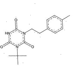 Cc1ccc(CCn2c(=O)[nH]c(=O)n(C(C)(C)C)c2=O)cc1